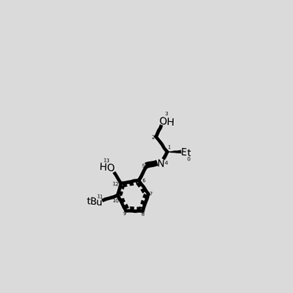 CC[C@H](CO)/N=C/c1cccc(C(C)(C)C)c1O